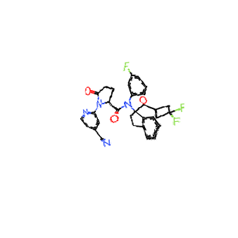 N#Cc1ccnc(N2C(=O)CC[C@H]2C(=O)N(c2cccc(F)c2)[C@]2(C(=O)C3CC(F)(F)C3)CCc3ccccc32)c1